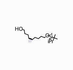 CC(C)C(C)(C)[Si](C)(C)OCCCC/C=C\CCCO